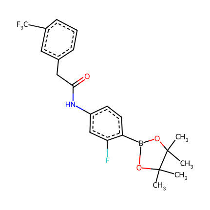 CC1(C)OB(c2ccc(NC(=O)Cc3cccc(C(F)(F)F)c3)cc2F)OC1(C)C